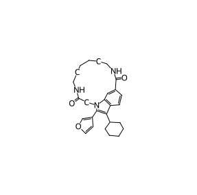 O=C1Cn2c(-c3ccoc3)c(C3CCCCC3)c3ccc(cc32)C(=O)NCCCCCCN1